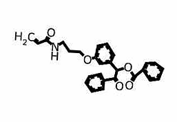 C=CC(=O)NCCCOc1cccc(C(OC(=O)c2ccccc2)C(=O)c2ccccc2)c1